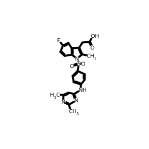 Cc1cc(Nc2ccc(S(=O)(=O)n3c(C)c(CC(=O)O)c4cc(F)ccc43)cc2)nc(C)n1